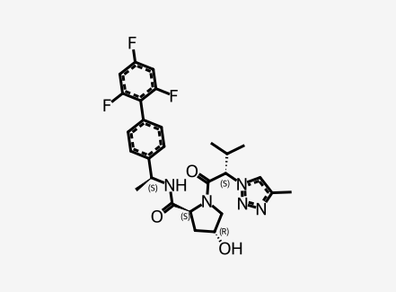 Cc1cn([C@H](C(=O)N2C[C@H](O)C[C@H]2C(=O)N[C@@H](C)c2ccc(-c3c(F)cc(F)cc3F)cc2)C(C)C)nn1